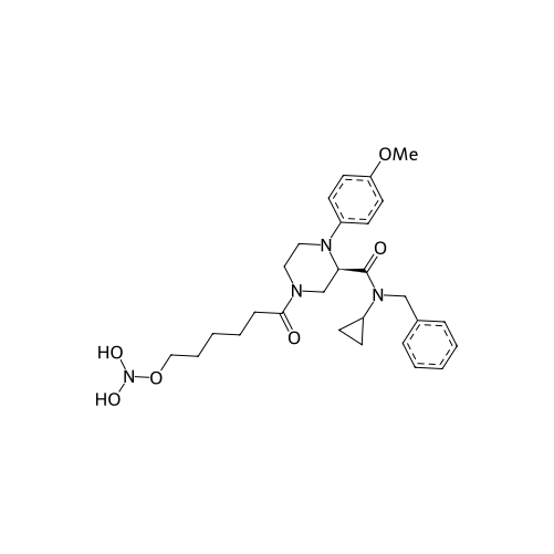 COc1ccc(N2CCN(C(=O)CCCCCON(O)O)C[C@@H]2C(=O)N(Cc2ccccc2)C2CC2)cc1